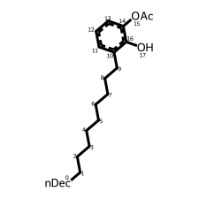 CCCCCCCCCCCCCCCCCCCc1cccc(OC(C)=O)c1O